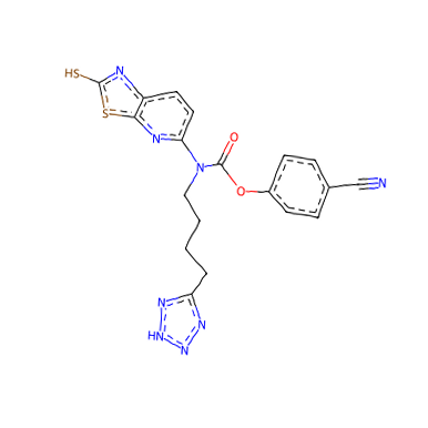 N#Cc1ccc(OC(=O)N(CCCCc2nn[nH]n2)c2ccc3nc(S)sc3n2)cc1